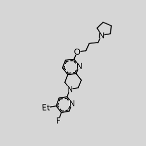 CCc1cc(N2CCc3nc(OCCCN4CCCC4)ccc3C2)ncc1F